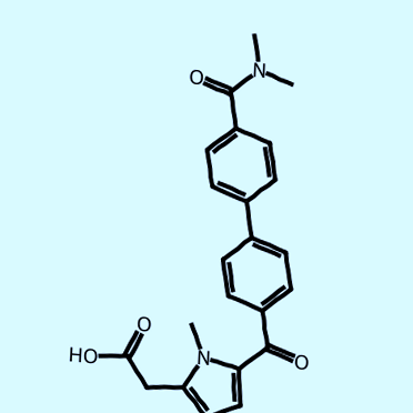 CN(C)C(=O)c1ccc(-c2ccc(C(=O)c3ccc(CC(=O)O)n3C)cc2)cc1